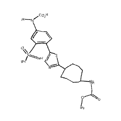 CC(C)OC(=O)NC1CCC(c2ncc(-c3ccc(N(C(=O)O)C(C)C)cc3S(=N)(=O)C(C)C)s2)CC1